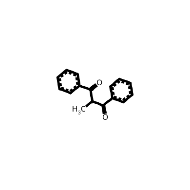 C[C](C(=O)c1ccccc1)C(=O)c1ccccc1